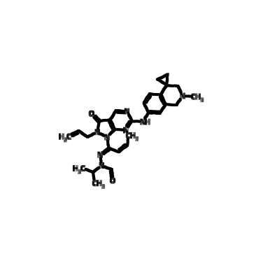 C=CCn1c(=O)c2cnc(Nc3ccc4c(c3)CN(C)CC43CC3)nc2n1C(/C=C\C)=N/N(C=O)C(C)C